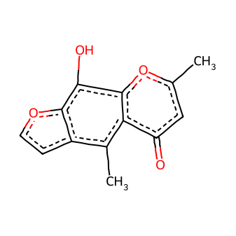 Cc1cc(=O)c2c(C)c3ccoc3c(O)c2o1